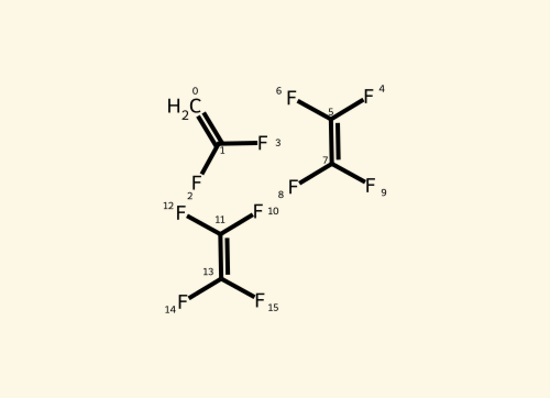 C=C(F)F.FC(F)=C(F)F.FC(F)=C(F)F